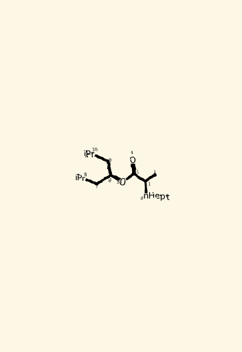 CCCCCCCC(C)C(=O)OC(CC(C)C)CC(C)C